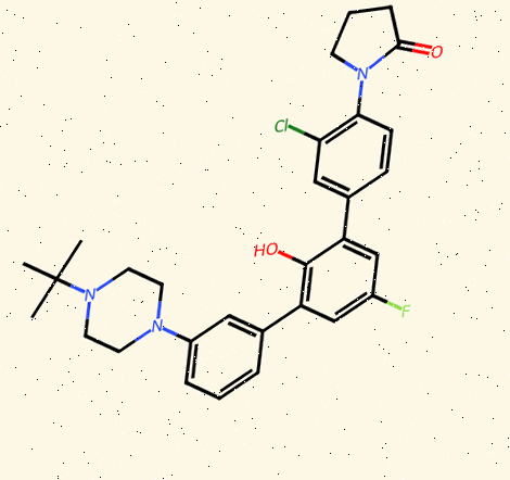 CC(C)(C)N1CCN(c2cccc(-c3cc(F)cc(-c4ccc(N5CCCC5=O)c(Cl)c4)c3O)c2)CC1